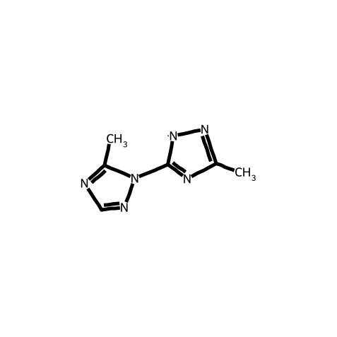 CC1=N[N]C(n2ncnc2C)=N1